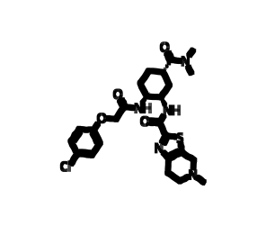 CN1CCc2nc(C(=O)N[C@@H]3C[C@@H](C(=O)N(C)C)CC[C@@H]3NC(=O)COc3ccc(Cl)cc3)sc2C1